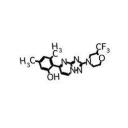 Cc1cc(C)c(-c2ccn3nc(N4CCOC(C(F)(F)F)C4)nc3n2)c(O)c1